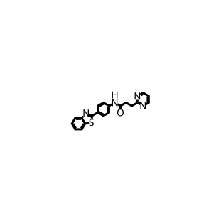 O=C(CCc1ncccn1)Nc1ccc(-c2nc3ccccc3s2)cc1